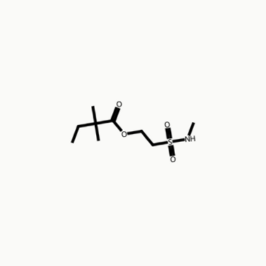 CCC(C)(C)C(=O)OCCS(=O)(=O)NC